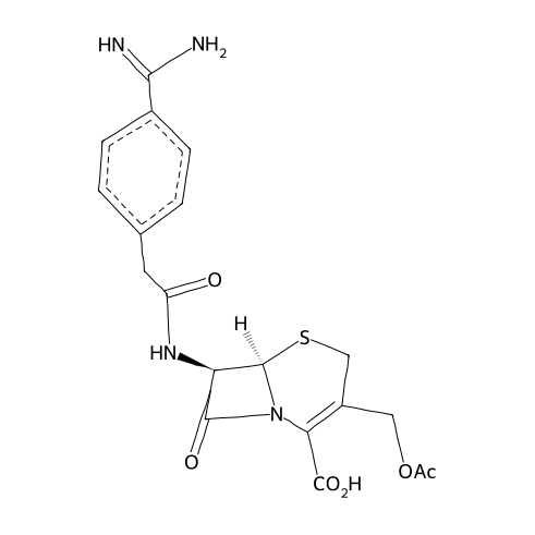 CC(=O)OCC1=C(C(=O)O)N2C(=O)[C@@H](NC(=O)Cc3ccc(C(=N)N)cc3)[C@H]2SC1